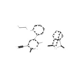 CCCOc1ccccc1-c1cc(C#N)c(=O)[nH]c1C.O=C1c2cc3ccc2c(=O)n31